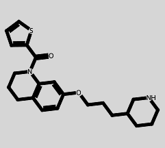 O=C(c1cccs1)N1CCCc2ccc(OCCCC3CCCNC3)cc21